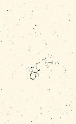 COP(OCCN1C(=O)[C@@H]2[C@H](C1=O)[C@@]1(C)C=C[C@]2(C)O1)N(C(C)C)C(C)C